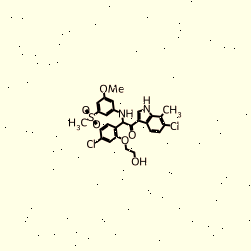 COc1cc(NC(C(=O)c2c[nH]c3c(C)c(Cl)ccc23)c2ccc(Cl)cc2OCCO)cc(S(C)(=O)=O)c1